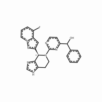 OC(c1ccccc1)c1ccnc(N2CCc3[nH]cnc3[C@H]2c2cc3c(F)cccn3n2)n1